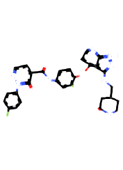 O=C1CC(CNc2n[nH]c3nccc(Oc4ccc(NC(=O)c5ccnn(-c6ccc(F)cc6)c5=O)cc4F)c23)CCN1